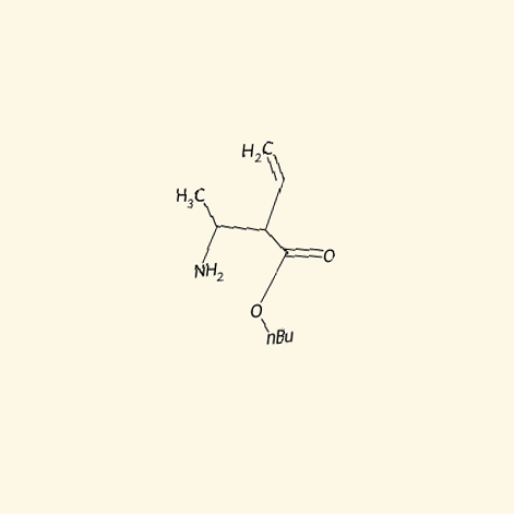 C=CC(C(=O)OCCCC)C(C)N